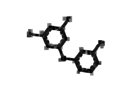 CCc1cccc(Oc2cc(Cl)cc(Br)c2)c1